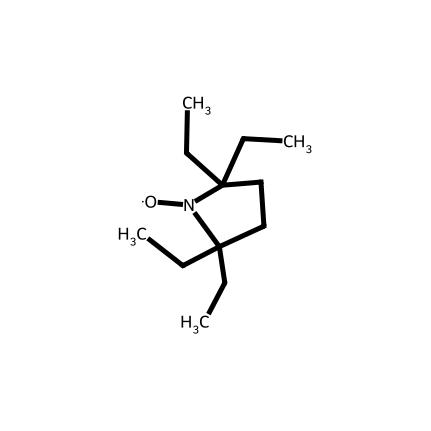 CCC1(CC)CCC(CC)(CC)N1[O]